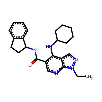 CCn1ncc2c(NC3CCCCC3)c(C(=O)NC3CCc4ccccc43)cnc21